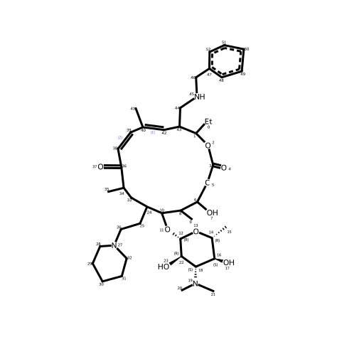 CCC1OC(=O)CC(O)C(C)C(O[C@@H]2O[C@H](C)[C@@H](O)[C@H](N(C)C)[C@H]2O)C(CCN2CCCCC2)CC(C)C(=O)/C=C\C(C)=C\C1CNCc1ccccc1